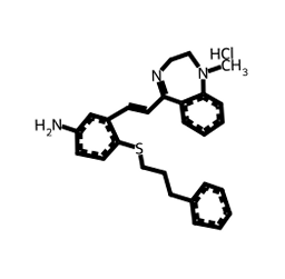 CN1CCN=C(/C=C/c2cc(N)ccc2SCCCc2ccccc2)c2ccccc21.Cl